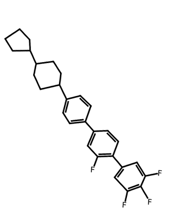 Fc1cc(-c2ccc(C3CCC(C4CCCC4)CC3)cc2)ccc1-c1cc(F)c(F)c(F)c1